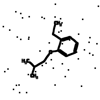 [CH2]Cc1ccccc1OCC(C)C